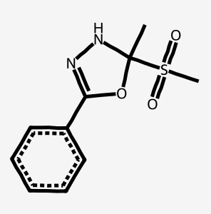 CC1(S(C)(=O)=O)NN=C(c2ccccc2)O1